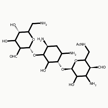 CC(=O)NCC1O[C@H](O[C@H]2C(N)C[C@H](N)C(O[C@H]3OC(CN)[C@@H](O)C(O)C3C=O)C2O)C(O)C(N)[C@@H]1C=O